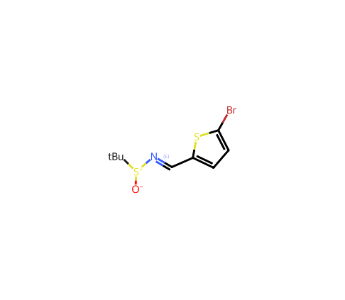 CC(C)(C)[S+]([O-])/N=C/c1ccc(Br)s1